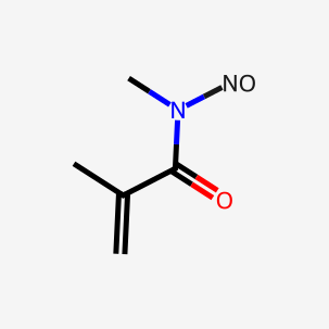 C=C(C)C(=O)N(C)N=O